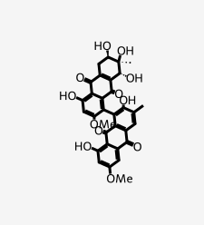 COc1cc(O)c2c(c1)C(=O)c1cc(C)c(O)c(-c3c(OC)cc(O)c4c3C(=O)C3=C(C[C@@H](O)[C@@](C)(O)[C@@H]3O)C4=O)c1C2=O